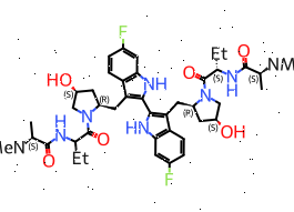 CCC(NC(=O)[C@H](C)NC)C(=O)N1C[C@@H](O)C[C@H]1Cc1c(-c2[nH]c3cc(F)ccc3c2C[C@@H]2C[C@H](O)CN2C(=O)[C@H](CC)NC(=O)[C@H](C)NC)[nH]c2cc(F)ccc12